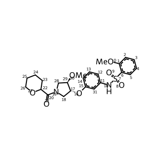 COc1ccccc1S(=O)(=O)Nc1cccc(O[C@@H]2CN(C(=O)C3CCCCO3)C[C@H]2OC)c1